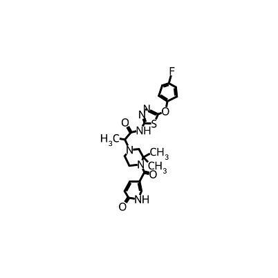 CC(C(=O)Nc1nnc(Oc2ccc(F)cc2)s1)N1CCN(C(=O)c2ccc(=O)[nH]c2)C(C)(C)C1